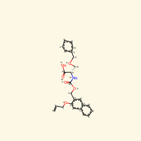 C=CCOc1cc2ccccc2cc1COC(=O)N[C@@H](COCc1ccccc1)C(=O)O